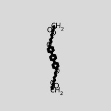 C=CC(=O)OCC/C=C/Oc1ccc(-c2ccc(-c3ccc(OCCCCOC(=O)C=C)cc3)cc2)cc1